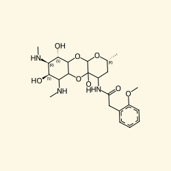 CNC1C2OC3(O)C(NC(=O)Cc4ccccc4OC)C[C@@H](C)OC3OC2[C@@H](O)[C@H](NC)[C@@H]1O